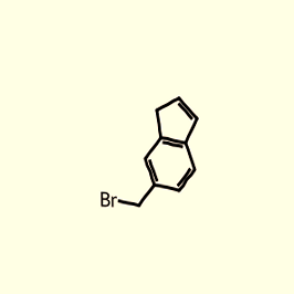 BrCc1ccc2c(c1)CC=C2